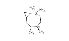 CC1CC2CC2[C@@](C)(N)CC[C@H]1C